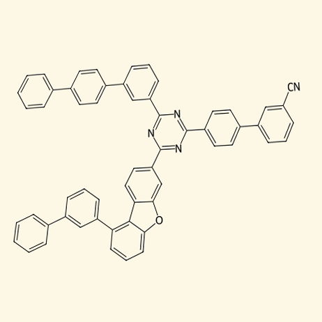 N#Cc1cccc(-c2ccc(-c3nc(-c4cccc(-c5ccc(-c6ccccc6)cc5)c4)nc(-c4ccc5c(c4)oc4cccc(-c6cccc(-c7ccccc7)c6)c45)n3)cc2)c1